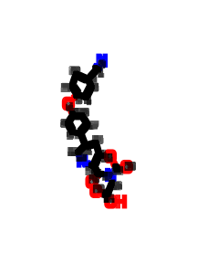 N#Cc1ccc(Oc2ccc(-c3cnc4c(=O)n(CC(=O)O)c(=O)oc4c3)cc2)cc1